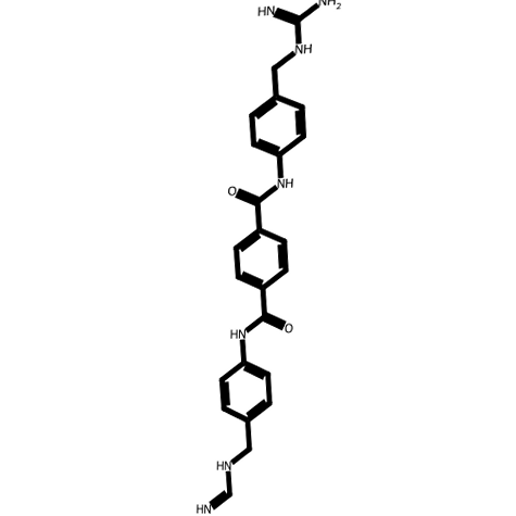 N=CNCc1ccc(NC(=O)c2ccc(C(=O)Nc3ccc(CNC(=N)N)cc3)cc2)cc1